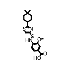 COc1cc(C(=O)O)ccc1NSc1csc(C2CCC(C)(C)CC2)n1